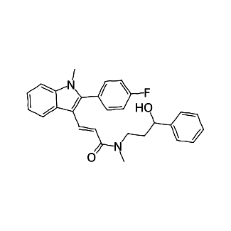 CN(CCC(O)c1ccccc1)C(=O)C=Cc1c(-c2ccc(F)cc2)n(C)c2ccccc12